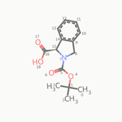 CC(C)(C)OC(=O)N1Cc2ccccc2[C@@H]1C(=O)O